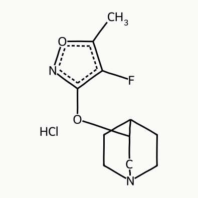 Cc1onc(OC2CN3CCC2CC3)c1F.Cl